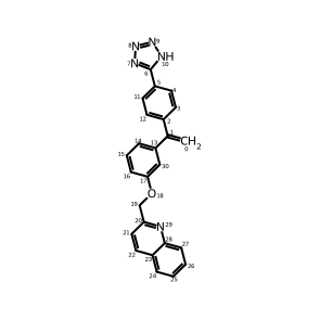 C=C(c1ccc(-c2nnn[nH]2)cc1)c1cccc(OCc2ccc3ccccc3n2)c1